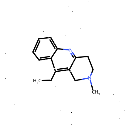 CCc1c2c(nc3ccccc13)CCN(C)C2